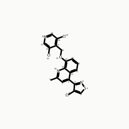 Cc1cc(-c2nscc2Cl)c2cccc(OCc3c(Cl)cncc3Cl)c2n1